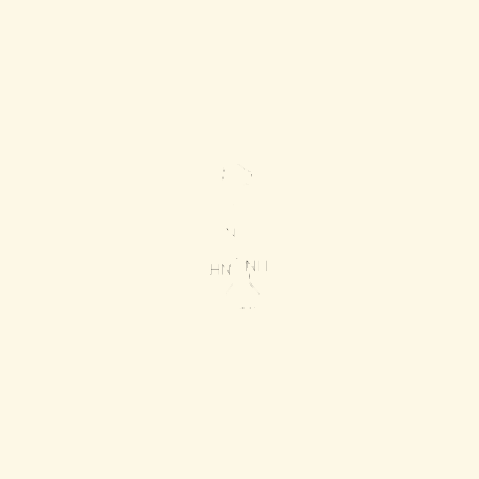 CC1(CN2CCC(c3ccccc3)CC2)Nc2ccccc2N1